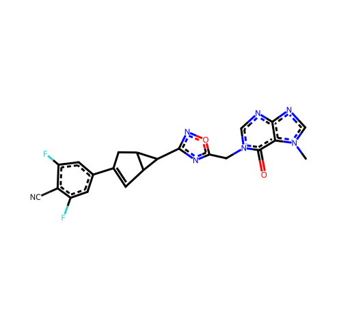 Cn1cnc2ncn(Cc3nc(C4C5C=C(c6cc(F)c(C#N)c(F)c6)CC54)no3)c(=O)c21